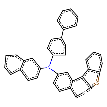 c1ccc(-c2ccc(N(c3ccc4ccccc4c3)c3ccc4ccc5sc6ccccc6c5c4c3)cc2)cc1